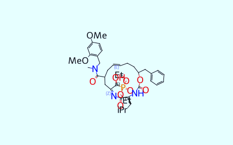 CCOP(=O)(OCC)[C@H](O)/C1=N\C(=O)[C@H](CC(C)C)NC(=O)OC(Cc2ccccc2)CC/C=C/CC(C(=O)N(C)Cc2ccc(OC)cc2OC)C1